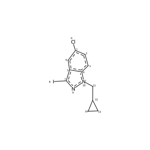 Clc1ccc2c(c1)c(I)nn2CC1CC1